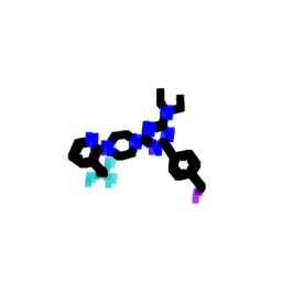 CCN(CC)c1nc(-c2ccc(CI)cc2)nc(N2CCN(c3ncccc3C(F)(F)F)CC2)n1